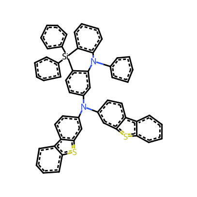 c1ccc(N2c3ccccc3[Si](c3ccccc3)(c3ccccc3)c3ccc(N(c4ccc5c(c4)sc4ccccc45)c4ccc5c(c4)sc4ccccc45)cc32)cc1